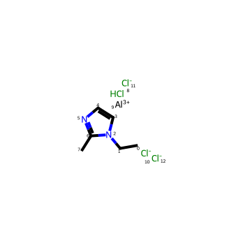 CCn1ccnc1C.Cl.[Al+3].[Cl-].[Cl-].[Cl-]